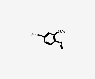 C=Nc1ccc(CCCCC)cc1SC